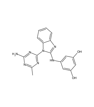 Cc1nc(N)nc(-n2c(Nc3cc(O)cc(O)c3)nc3ccccc32)n1